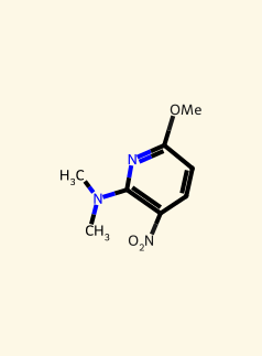 COc1ccc([N+](=O)[O-])c(N(C)C)n1